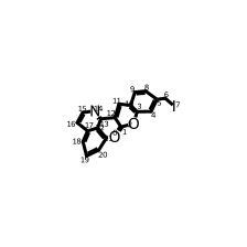 O=c1oc2cc(CI)ccc2cc1-c1nccc2ccccc12